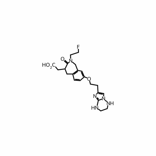 O=C(O)CC1Cc2ccc(OCCc3cn4c(n3)NCCN4)cc2CN(CCF)C1=O